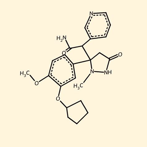 COc1ccc(C2(C(C(N)=O)c3cccnc3)CC(=O)NN2C)cc1OC1CCCC1